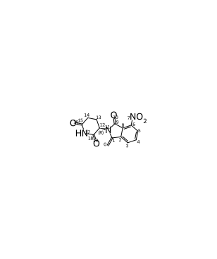 C=C1c2cccc([N+](=O)[O-])c2C(=O)N1[C@@H]1CCC(=O)NC1=O